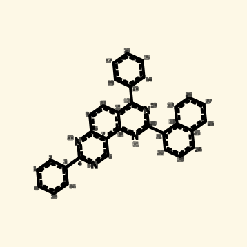 c1ccc(-c2ncc3c(ccc4c(-c5ccccc5)nc(-c5cccc6ccccc56)nc43)n2)cc1